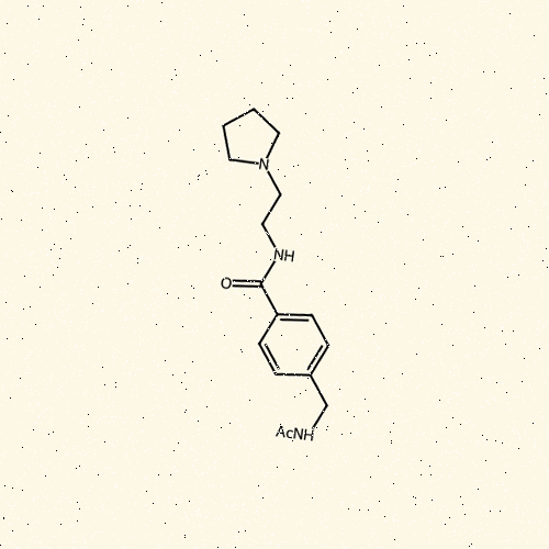 CC(=O)NCc1ccc(C(=O)NCCN2CCCC2)cc1